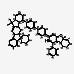 CC1(C)C2=CC3c4ccccc4C4(CCCCC4)C3CC2C2C(c3ccc(-c4ccc(C5=NC6=C(C7CCCC=C7O6)C(c6ccccc6)N5)cc4)cc3)=CC=CC21